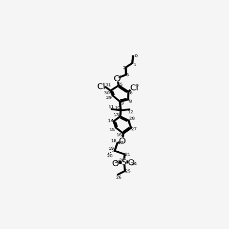 CCCCOc1c(Cl)cc(C(C)(C)c2ccc(OC[C@@H](C)CS(=O)(=O)CC)cc2)cc1Cl